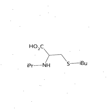 CCC(C)SCC(NC(C)C)C(=O)O